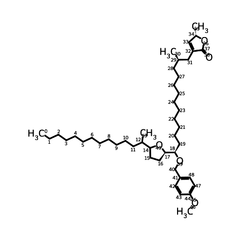 CCCCCCCCCCCCC(C)C1CC[C@H]([C@@H](CCCCCCCCCC[C@@H](C)CC2=C[C@H](C)OC2=O)OCc2ccc(OC)cc2)O1